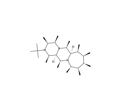 C[C@@H]1[C@H](C)[C@H](C)[C@@H]2[C@H](C)B3[C@H]([C@@H](C)N(C(C)(C)C)[C@@H](C)[C@H]3C)[C@H](C)N2[C@H](C)[C@@H]1C